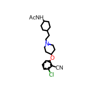 CC(=O)NC1CCC(CCN2CCC(Oc3cccc(Cl)c3C#N)CC2)CC1